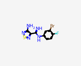 N=C(Nc1ccc(F)c(Br)c1)c1nsnc1N